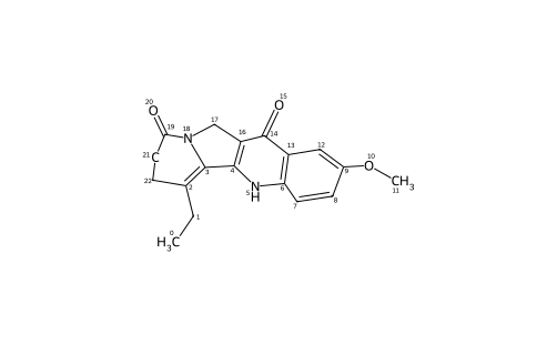 CCC1=C2c3[nH]c4ccc(OC)cc4c(=O)c3CN2C(=O)CC1